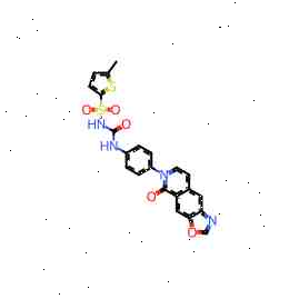 Cc1ccc(S(=O)(=O)NC(=O)Nc2ccc(-n3ccc4cc5ncoc5cc4c3=O)cc2)s1